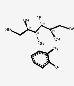 OC[C@@H](O)[C@@H](O)[C@H](O)[C@H](O)CO.Oc1ccccc1O